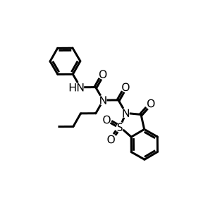 CCCCN(C(=O)Nc1ccccc1)C(=O)N1C(=O)c2ccccc2S1(=O)=O